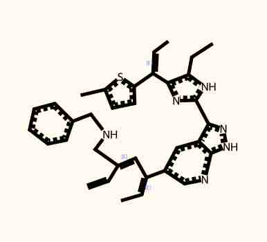 C=C/C(=C\C(=C/C)c1cnc2[nH]nc(-c3nc(/C(=C\C)c4ccc(C)s4)c(CC)[nH]3)c2c1)CNCc1ccccc1